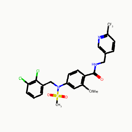 COc1cc(N(Cc2cccc(Cl)c2Cl)S(C)(=O)=O)ccc1C(=O)NCc1ccc(C(F)(F)F)nc1